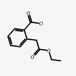 CCOC(=O)Cc1ccccc1C(=O)Cl